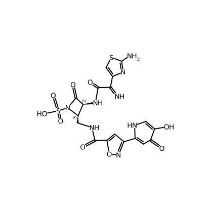 N=C(C(=O)N[C@@H]1C(=O)N(S(=O)(=O)O)[C@@H]1CNC(=O)c1cc(-c2cc(=O)c(O)c[nH]2)no1)c1csc(N)n1